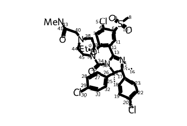 CCOc1cc(Cl)c(S(C)(=O)=O)cc1C1=N[C@@](C)(c2ccc(Cl)cc2)[C@@](C)(c2ccc(Cl)cc2)N1C(=O)N1CCN(CC(=O)NC)CC1